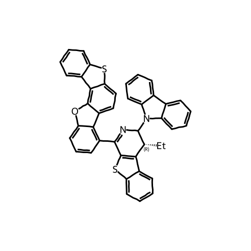 CC[C@@H]1c2c(sc3ccccc23)C(c2cccc3oc4c(ccc5sc6ccccc6c54)c23)=NC1n1c2ccccc2c2ccccc21